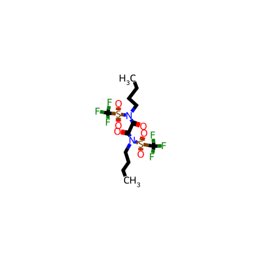 CCCCN(C(=O)C(=O)N(CCCC)S(=O)(=O)C(F)(F)F)S(=O)(=O)C(F)(F)F